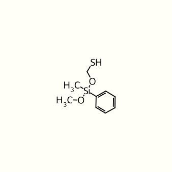 CO[Si](C)(OCS)c1ccccc1